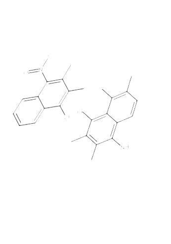 Cc1c(C)c([N+](=O)[O-])c2ccccc2c1Cl.Cc1ccc2c(N)c(C)c(C)c(Cl)c2c1C